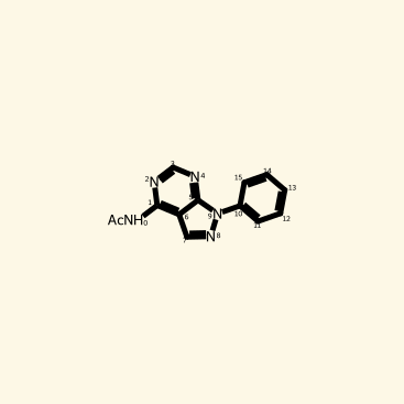 CC(=O)Nc1ncnc2c1cnn2-c1ccccc1